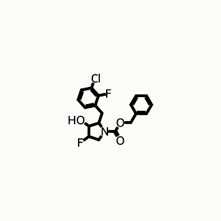 O=C(OCc1ccccc1)N1CC(F)C(O)C1Cc1cccc(Cl)c1F